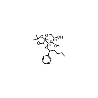 CCCCC(O[C@@H]1[C@H](OC)[C@H](O)CO[C@]12COC(C)(C)O2)c1ccccc1